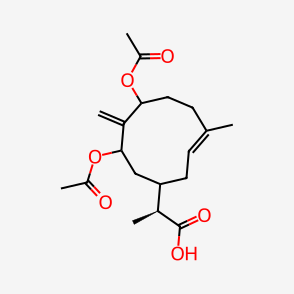 C=C1C(OC(C)=O)CC/C(C)=C/CC([C@H](C)C(=O)O)CC1OC(C)=O